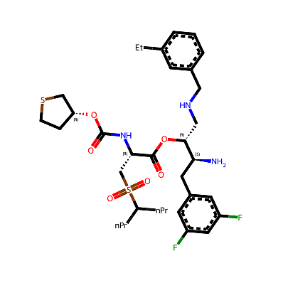 CCCC(CCC)S(=O)(=O)C[C@H](NC(=O)O[C@@H]1CCSC1)C(=O)O[C@H](CNCc1cccc(CC)c1)[C@@H](N)Cc1cc(F)cc(F)c1